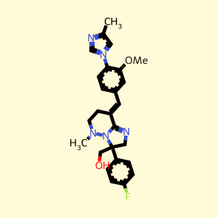 COc1cc(/C=C2\CCN(C)N3C2=NCC3(CO)c2ccc(F)cc2)ccc1-n1cnc(C)c1